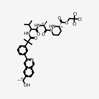 CC(C)C(NC(=O)C(C)(C)c1cccc(-c2cc3cc([C@@H](C)O)ccc3cn2)c1)C(=O)N[C@@H](C)C(=O)N1CCC[C@@H](C(=O)OCC(Cl)(Cl)Cl)N1